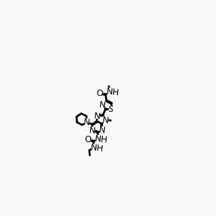 CCNC(=O)Nc1nc(N2CCCCC2)c2nc(-c3nc(C(=O)NC)cs3)n(C)c2n1